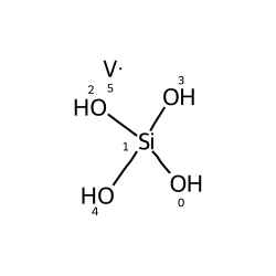 O[Si](O)(O)O.[V]